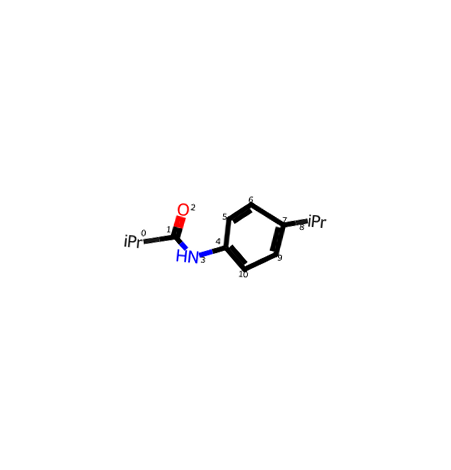 CC(C)C(=O)Nc1ccc(C(C)C)cc1